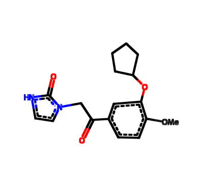 COc1ccc(C(=O)Cn2cc[nH]c2=O)cc1OC1CCCC1